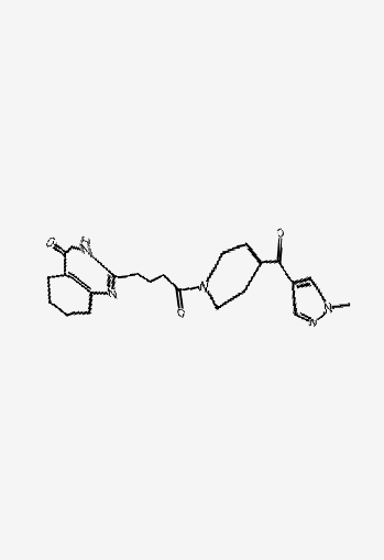 Cn1cc(C(=O)C2CCN(C(=O)CCCc3nc4c(c(=O)[nH]3)CCCC4)CC2)cn1